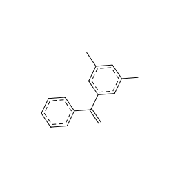 C=C(c1ccccc1)c1cc(C)cc(C)c1